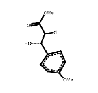 COC(=O)C(Cl)[C@@H](O)c1ccc(OC)cc1